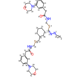 C=N/N=C(\SCNC(=O)Cc1cccc(N2CCOCC2)c1)[C@H]1CCCC(CSCNC(=O)Cc2cccc(N3CCOCC3)c2)C1